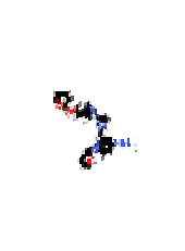 Nc1ccc2c(c1)c(-c1nccc(-n3cc(CCOC4CCCCO4)cn3)n1)nn2C1CCCCO1